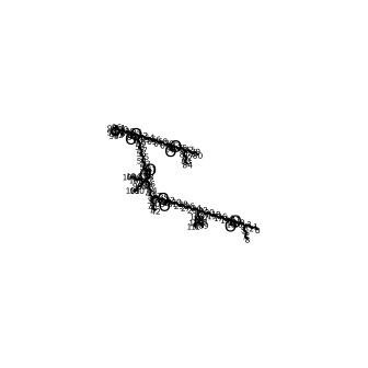 CCCCC(CCCC)CCOC(=O)CCCCCCCCCC(CCCCCCCCCC(=O)OCCC(CCCC)CCCCC(COC(=O)CCCCCCCCCC(CCCCCCCCCC(=O)OCCC(CCCC)CCCC)OC(=O)CCCN1CCCCC1)C(CCCC)CCCC)CCN(C)CC